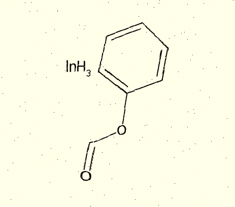 O=COc1ccccc1.[InH3]